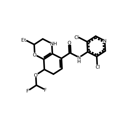 CCC1CNC2=C(O1)C(OC(F)F)CC=C2C(=O)Nc1c(Cl)cncc1Cl